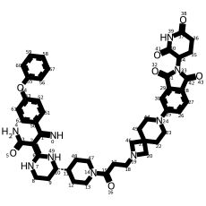 N=C(/C(C(N)=O)=C1/NCC[C@@H](C2CCN(C(=O)CCN3CC4(CCN(c5ccc6c(c5)C(=O)N(C5CCC(=O)NC5=O)C6=O)CC4)C3)CC2)N1)c1ccc(Oc2ccccc2)cc1